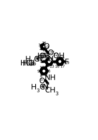 CN(C)CC(=O)Nc1cccc(-c2cc(-c3ccc(F)cc3O)nc(NC(=O)c3ccco3)c2CN(C)C)c1.Cl.Cl